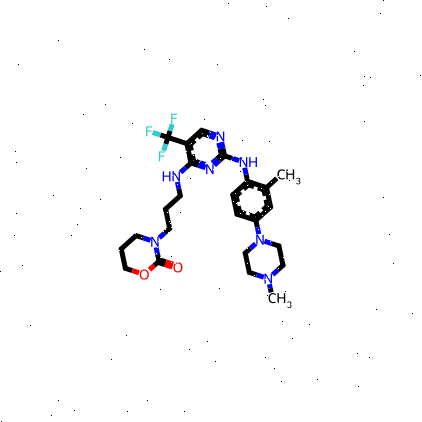 Cc1cc(N2CCN(C)CC2)ccc1Nc1ncc(C(F)(F)F)c(NCCCN2CCCOC2=O)n1